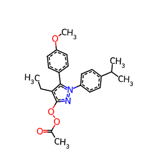 CCc1c(OOC(C)=O)nn(-c2ccc(C(C)C)cc2)c1-c1ccc(OC)cc1